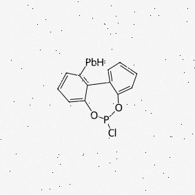 Clp1oc2ccccc2c2[c]([PbH])cccc2o1